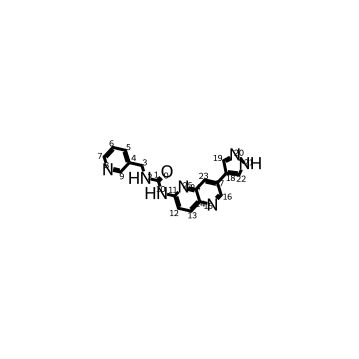 O=C(NCc1cccnc1)Nc1ccc2ncc(-c3cn[nH]c3)cc2n1